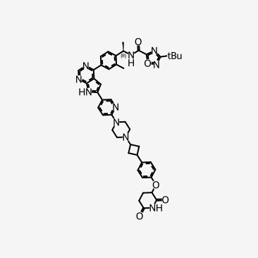 Cc1cc(-c2ncnc3[nH]c(-c4ccc(N5CCN(C6CC(c7ccc(OC8CCC(=O)NC8=O)cc7)C6)CC5)nc4)cc23)ccc1[C@@H](C)NC(=O)c1nc(C(C)(C)C)no1